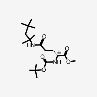 COC(=O)[C@@H](CCC(=O)NC(C)(C)CC(C)(C)C)NC(=O)OC(C)(C)C